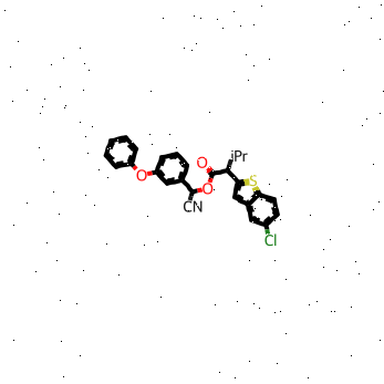 CC(C)C(C(=O)OC(C#N)c1cccc(Oc2ccccc2)c1)c1cc2cc(Cl)ccc2s1